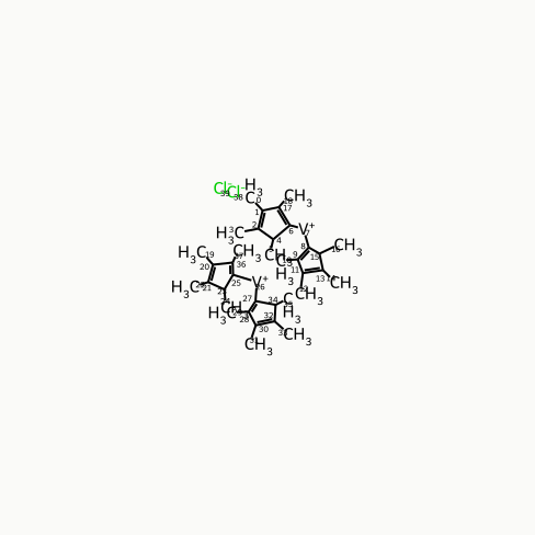 CC1=C(C)C(C)[C]([V+][C]2=C(C)C(C)=C(C)C2C)=C1C.CC1=C(C)C(C)[C]([V+][C]2=C(C)C(C)=C(C)C2C)=C1C.[Cl-].[Cl-]